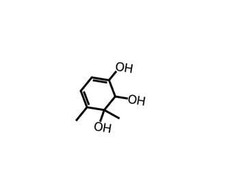 CC1=CC=C(O)C(O)C1(C)O